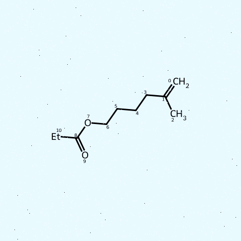 C=C(C)CCCCOC(=O)CC